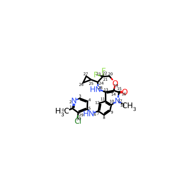 Cc1nccc(Nc2ccc3c(c2)c2c(c(=O)n3C)OCC(F)(F)C(C3CC3)N2)c1Cl